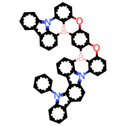 c1ccc(-n2c3ccccc3c3ccc4c(c5cccc6c5n4-c4cccc5c4B6c4cc6c(cc4O5)Oc4cccc5c4B6c4cccc6c7ccccc7n-5c46)c32)cc1